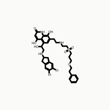 CCc1cc2c(cc1CC)CC(NCC(O)c1cc(CCNCCS(=O)(=O)CCCOCCc3ccccc3)c(O)c3[nH]c(=O)cc(O)c13)C2